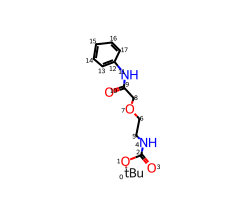 CC(C)(C)OC(=O)NCCOCC(=O)Nc1ccccc1